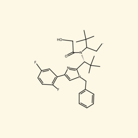 [CH2]CC(N(C(=O)CO)[C@@H](c1nc(-c2cc(F)ccc2F)cn1Cc1ccccc1)C(C)(C)C)C(C)(C)C